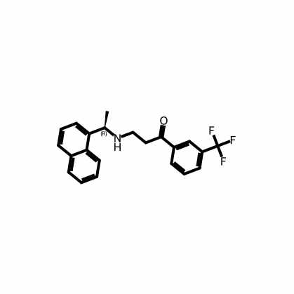 C[C@@H](NCCC(=O)c1cccc(C(F)(F)F)c1)c1cccc2ccccc12